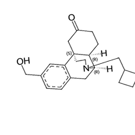 O=C1CC[C@H]2[C@H]3Cc4ccc(CO)cc4[C@@]2(CCN3CC2CCC2)C1